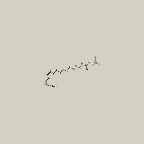 CCCCC/C=C\C/C=C\CCCCCCCCCOC(=O)CCN(C)C